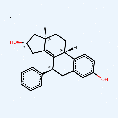 C[C@]12CC[C@H]3C(=C1C[C@@H](O)C2)[C@H](c1ccccc1)Cc1cc(O)ccc13